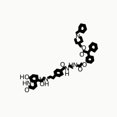 O=C(COc1cccc(C(C(=O)OCC2CCN(Cc3ccccc3)CC2)c2ccccc2)c1)NCCNC(=O)c1ccc(CCNC[C@H](O)c2ccc(O)c3[nH]c(=O)ccc23)cc1